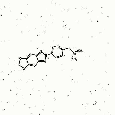 C[C@@H](N)Cc1ccc(-n2nc3cc4c(cc3n2)OCO4)cc1